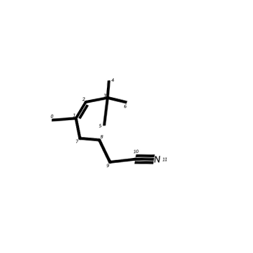 CC(=CC(C)(C)C)CCCC#N